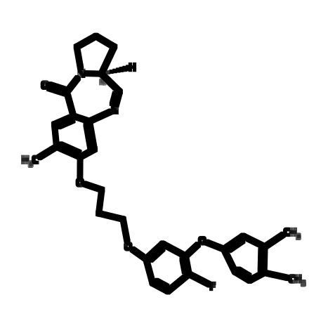 Cc1ccc(Oc2cc(OCCCOc3cc4c(cc3C)C(=O)N3CCC[C@H]3C=N4)ccc2F)cc1C